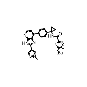 Cn1cc(-c2nc3c(-c4ccc(C5(NC(=O)c6noc(C(C)(C)C)n6)CC5)cc4)ccnc3[nH]2)cn1